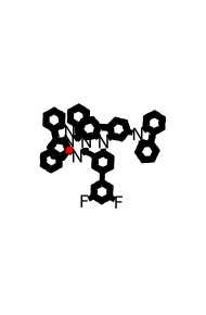 Fc1cc(F)cc(-c2ccc(-n3c4cc(-n5c6ccccc6c6ccccc65)ccc4c4ccc(-n5c6ccccc6c6ccccc65)cc43)c(-c3nc(-c4ccccc4)nc(-c4ccccc4)n3)c2)c1